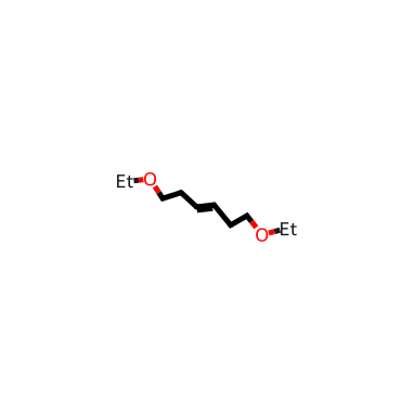 CCOCCC=CCCOCC